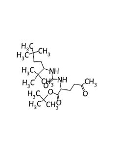 CC(=O)CCC(NC(=O)NC(CCC(C)(C)C)C(C)(C)C)C(=O)OC(C)(C)C